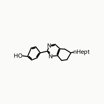 CCCCCCCC1CCc2nc(-c3ccc(O)cc3)ncc2C1